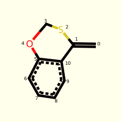 C=C1SCOc2ccccc21